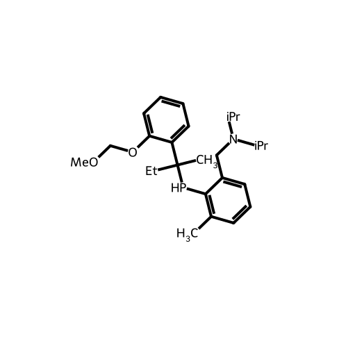 CCC(C)(Pc1c(C)cccc1CN(C(C)C)C(C)C)c1ccccc1OCOC